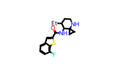 CCC1CCNC2(CC2)C1NC(=O)c1cc2cccc(F)c2s1